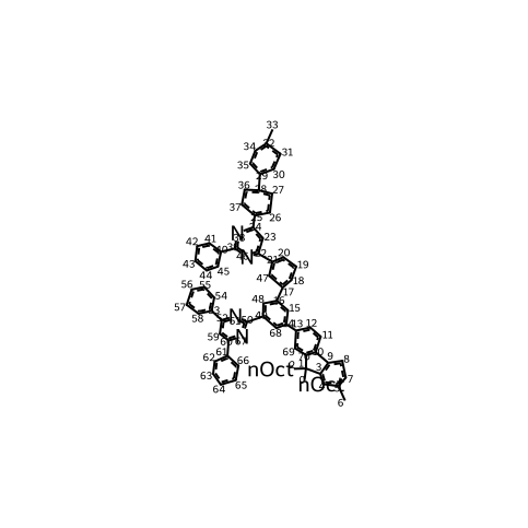 CCCCCCCCC1(CCCCCCCC)c2cc(C)ccc2-c2ccc(-c3cc(-c4cccc(-c5cc(-c6ccc(-c7ccc(C)cc7)cc6)nc(-c6ccccc6)n5)c4)cc(-c4nc(-c5ccccc5)cc(-c5ccccc5)n4)c3)cc21